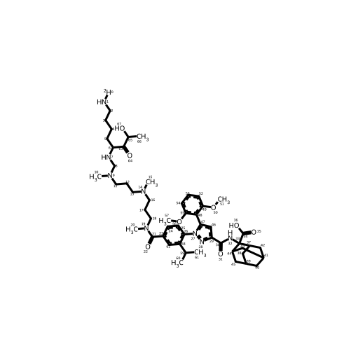 [2H]NCCCCC(NCN(C)CCCN(C)CCCN(C)C(=O)c1ccc(-n2nc(C(=O)NC3(C(=O)O)C4CC5CC(C4)CC3C5)cc2-c2c(OC)cccc2OC)c(C(C)C)c1)C(=O)C(C)O